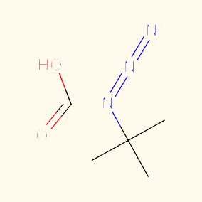 CC(C)(C)N=[N+]=[N-].O=CO